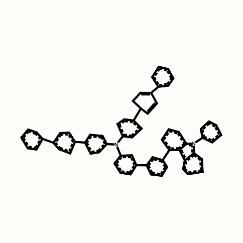 C1=CC(c2ccc(N(c3ccc(-c4ccc(-c5ccccc5)cc4)cc3)c3cccc(-c4cccc(-c5cccc6c5c5ccccc5n6-c5ccccc5)c4)c3)cc2)CC=C1c1ccccc1